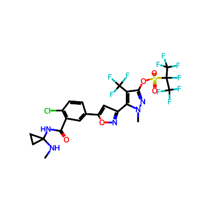 CNC1(NC(=O)c2cc(-c3cc(-c4c(C(F)(F)F)c(OS(=O)(=O)C(F)(C(F)(F)F)C(F)(F)F)nn4C)no3)ccc2Cl)CC1